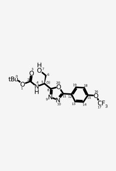 CC(C)(C)OC(=O)N[C@@H](CO)c1nnc(-c2ccc(OC(F)(F)F)cc2)o1